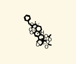 CC(=O)OC1[C@H](OC(C)=O)C[C@@]23COC[C@@]1(C)[C@@H]2CC[C@H]1C3=CC(=O)[C@@]2(C)[C@H](C(=O)OCc3ccccc3)[C@@](C)([C@H](C)C(C)C)CC[C@]12C